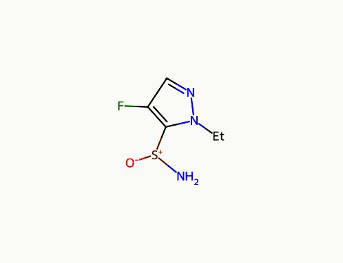 CCn1ncc(F)c1[S+](N)[O-]